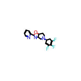 FC1=CC(N2CCC3OC(c4ccccn4)=NC3C2)CC(F)=C1F